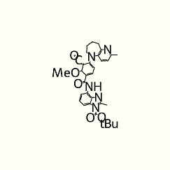 COC1C(=C=O)C(N2CCCCc3nc(C)ccc32)=CC=C1C(=O)Nc1cccc2c1nc(C)n2C(=O)OC(C)(C)C